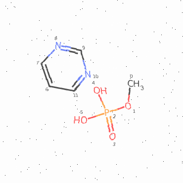 COP(=O)(O)O.c1cncnc1